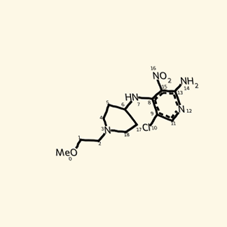 COCCN1CCC(Nc2c(Cl)cnc(N)c2[N+](=O)[O-])CC1